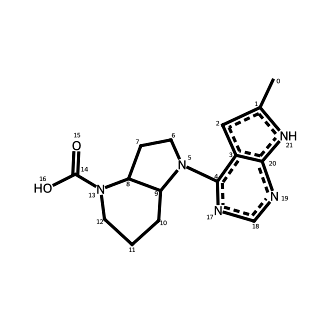 Cc1cc2c(N3CCC4C3CCCN4C(=O)O)ncnc2[nH]1